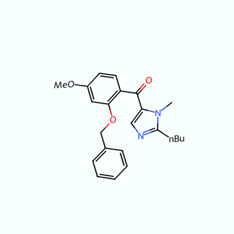 CCCCc1ncc(C(=O)c2ccc(OC)cc2OCc2ccccc2)n1C